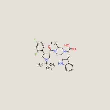 C[C@H]1CN([C@@H](Cc2c[nH]c3ccccc23)C(=O)O)CCN1C(=O)[C@@H]1CN(C(C)(C)C)C[C@H]1c1ccc(F)cc1F